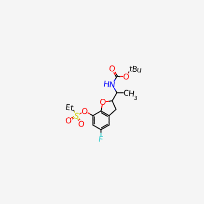 CCS(=O)(=O)Oc1cc(F)cc2c1OC(C(C)NC(=O)OC(C)(C)C)C2